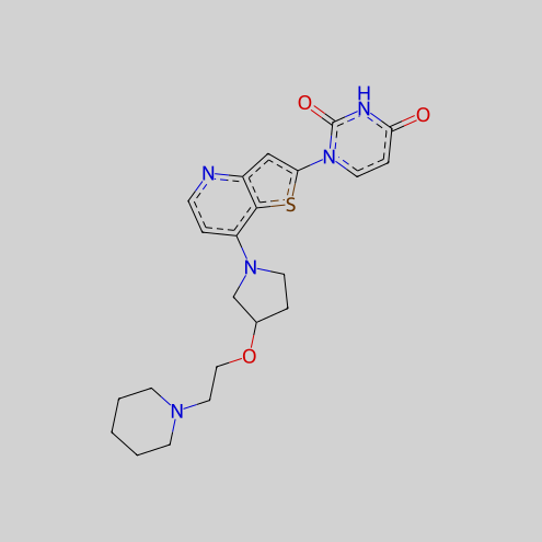 O=c1ccn(-c2cc3nccc(N4CCC(OCCN5CCCCC5)C4)c3s2)c(=O)[nH]1